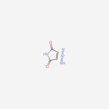 O=C1C=CC(=O)N1.[N-]=[N+]=N